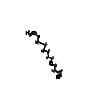 CCCCCCCCOCCC[N]